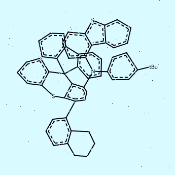 CC(C)(C)c1ccc(N(c2ccc(-c3cccc4c3CCCC4)c3c2C2(c4ccccc4S3)c3ccccc3-c3ccccc32)c2cccc3sc4ccccc4c23)cc1